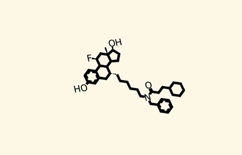 C[C@]12C[C@H](F)C3c4ccc(O)cc4C[C@@H](CCCCCCN(Cc4ccccc4)C(=O)CCC4CCCCC4)C3C1CC[C@@H]2O